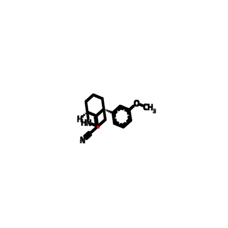 COc1cccc([C@]23CCC[C@H](NCC2)/C3=C\C#N)c1